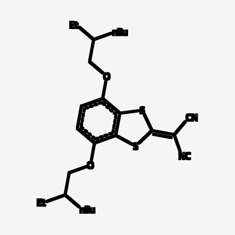 [C-]#[N+]C(C#N)=C1Sc2c(OCC(CC)CCCC)ccc(OCC(CC)CCCC)c2S1